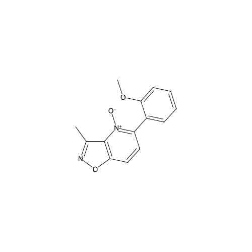 COc1ccccc1-c1ccc2onc(C)c2[n+]1[O-]